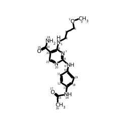 COCCCNc1nc(Nc2ccc(NC(C)=O)cc2)ncc1C(N)=O